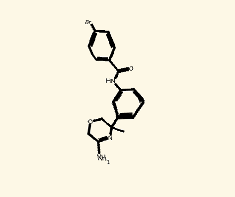 CC1(c2cccc(NC(=O)c3ccc(Br)cc3)c2)COCC(N)=N1